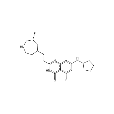 O=c1[nH]c(CSC2CCNCC(F)C2)nc2cc(NC3CCCC3)cc(F)c12